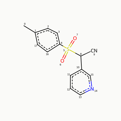 Cc1ccc(S(=O)(=O)C(C#N)c2cccnc2)cc1